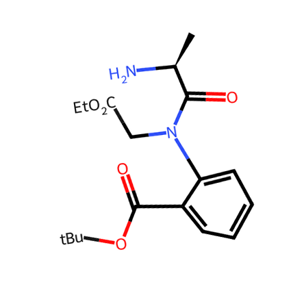 CCOC(=O)CN(C(=O)[C@H](C)N)c1ccccc1C(=O)OC(C)(C)C